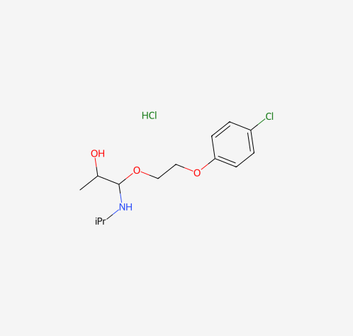 CC(C)NC(OCCOc1ccc(Cl)cc1)C(C)O.Cl